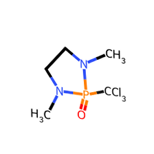 CN1CCN(C)P1(=O)C(Cl)(Cl)Cl